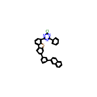 Clc1nc(-c2ccccc2)nc(-c2cccc3c2sc2cc(-c4cccc(-c5ccc6ccccc6c5)c4)ccc23)n1